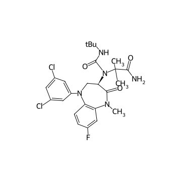 CN1C(=O)[C@H](N(C(=O)NC(C)(C)C)C(C)(C)C(N)=O)CN(c2cc(Cl)cc(Cl)c2)c2ccc(F)cc21